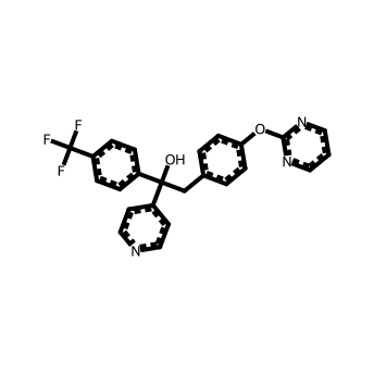 OC(Cc1ccc(Oc2ncccn2)cc1)(c1ccncc1)c1ccc(C(F)(F)F)cc1